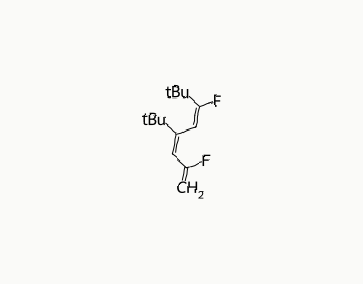 C=C(F)/C=C(\C=C(\F)C(C)(C)C)C(C)(C)C